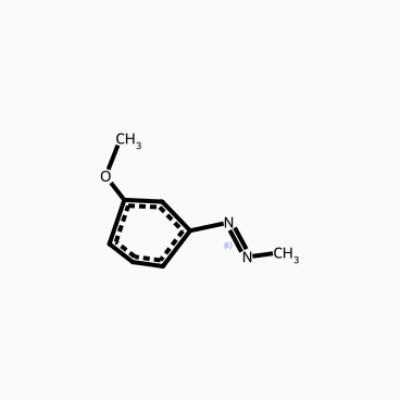 C/N=N/c1cccc(OC)c1